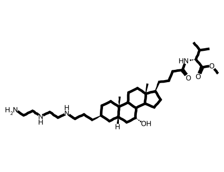 COC(=O)[C@H](NC(=O)CCC[C@H]1CCC2C3C(CC[C@@]21C)[C@@]1(C)CC[C@H](CCCNCCNCCN)C[C@H]1C[C@H]3O)C(C)C